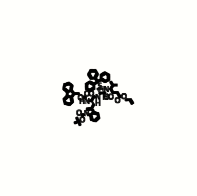 C=CCOC(=O)C[C@H](O)[C@H](NC(=O)[C@@H](CSC(c1ccccc1)(c1ccccc1)c1ccccc1)NC(=O)[C@@H](Cc1cn(C(=O)OC(C)(C)C)c2ccccc12)NC(=O)OCC1c2ccccc2-c2ccccc21)C(C)C